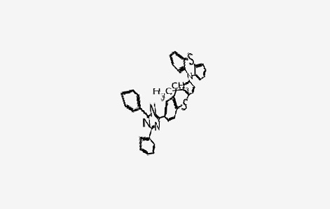 CC1(C)c2cc(-c3nc(-c4ccccc4)nc(-c4ccccc4)n3)ccc2Sc2ccc(N3c4ccccc4Sc4ccccc43)cc21